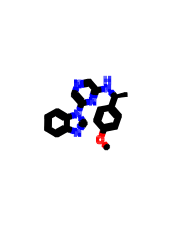 COc1ccc([C@H](C)Nc2cncc(-n3cnc4ccccc43)n2)cc1